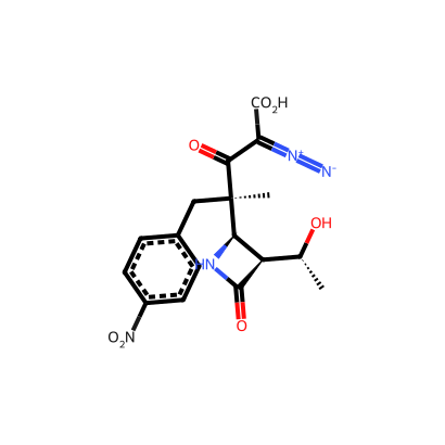 C[C@@H](O)[C@H]1C(=O)N[C@H]1[C@@](C)(Cc1ccc([N+](=O)[O-])cc1)C(=O)C(=[N+]=[N-])C(=O)O